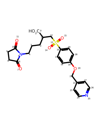 O=C(O)C(CCCN1C(=O)CCC1=O)CS(=O)(=O)c1ccc(OCc2ccncc2)cc1